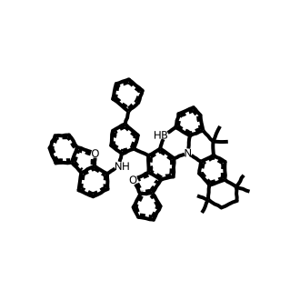 CC1(C)CCC(C)(C)c2cc3c(cc21)N1c2cc4c(oc5ccccc54)c(-c4cc(-c5ccccc5)ccc4Nc4cccc5c4oc4ccccc45)c2Bc2cccc(c21)C3(C)C